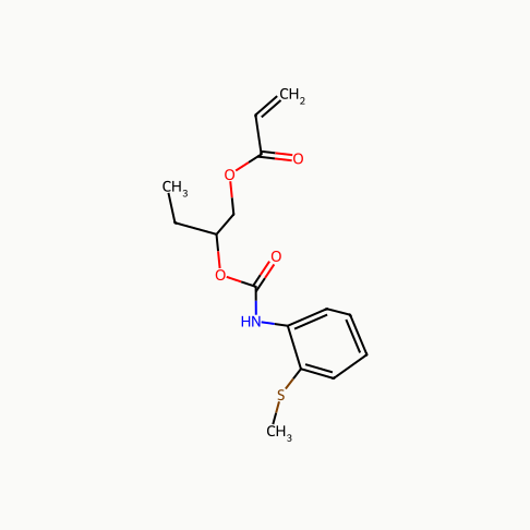 C=CC(=O)OCC(CC)OC(=O)Nc1ccccc1SC